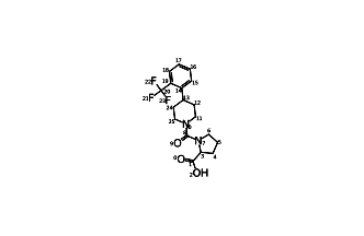 O=C(O)C1CCCN1C(=O)N1CCC(c2ccccc2C(F)(F)F)CC1